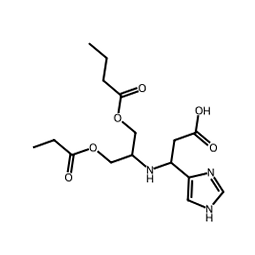 CCCC(=O)OCC(COC(=O)CC)NC(CC(=O)O)c1c[nH]cn1